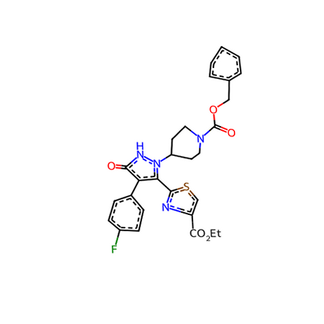 CCOC(=O)c1csc(-c2c(-c3ccc(F)cc3)c(=O)[nH]n2C2CCN(C(=O)OCc3ccccc3)CC2)n1